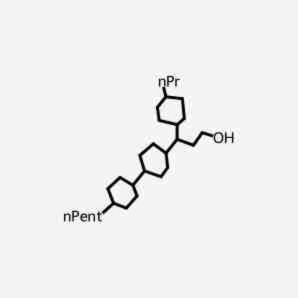 CCCCCC1CCC(C2CCC(C(CCO)C3CCC(CCC)CC3)CC2)CC1